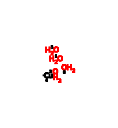 O.O.O.O.[Cu]